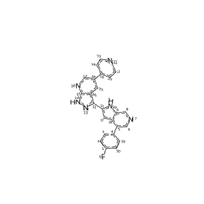 Fc1ccc(-c2cncc3[nH]c(-c4n[nH]c5ncc(-c6ccncc6)cc45)cc23)cc1